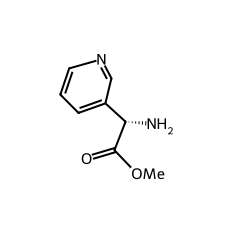 COC(=O)[C@@H](N)c1cccnc1